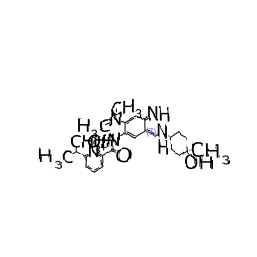 CC(C)c1cccc(C(=O)NC2=C/C(=C/N[C@H]3CC[C@](C)(O)CC3)C(=N)C=C2N(C)C)[n+]1O